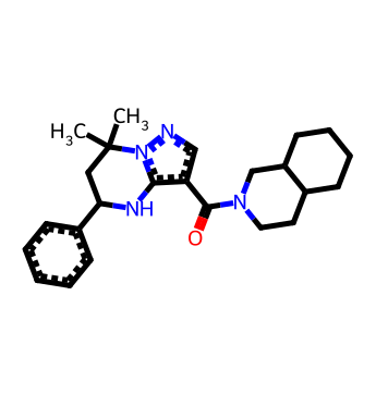 CC1(C)CC(c2ccccc2)Nc2c(C(=O)N3CCC4CCCCC4C3)cnn21